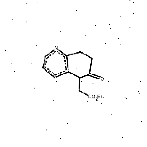 CCOC(=O)CC1C(=O)CCc2ncccc21